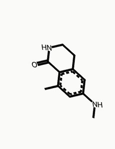 CNc1cc(C)c2c(c1)CCNC2=O